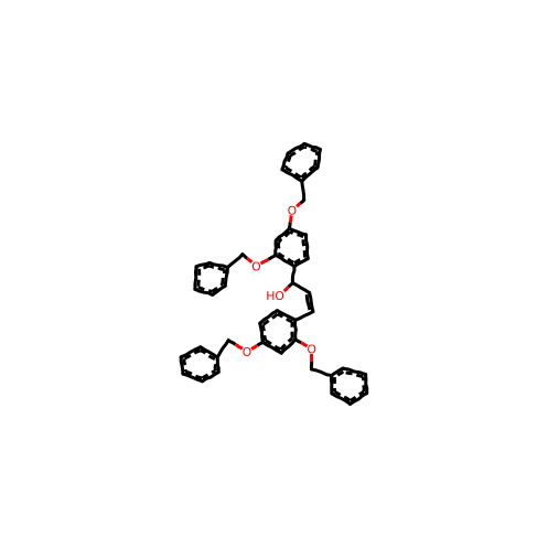 OC(/C=C\c1ccc(OCc2ccccc2)cc1OCc1ccccc1)c1ccc(OCc2ccccc2)cc1OCc1ccccc1